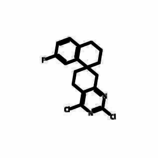 Fc1ccc2c(c1)C1(CCC2)CCc2c(Cl)nc(Cl)nc2C1